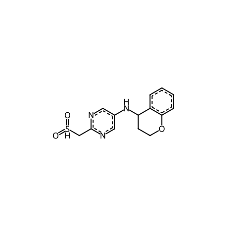 O=[SH](=O)Cc1ncc(NC2CCOc3ccccc32)cn1